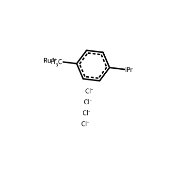 Cc1ccc(C(C)C)cc1.[Cl-].[Cl-].[Cl-].[Cl-].[Ru+4]